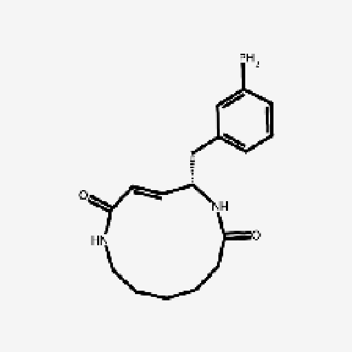 O=C1/C=C/[C@H](Cc2cccc(P)c2)NC(=O)CCCCCN1